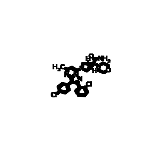 Cc1cc(N2C[C@@H]3[C@H](C2)[C@]3(C(N)=O)N2CCOCC2)n2nc(-c3ccccc3Cl)c(-c3ccc(Cl)cc3)c2n1